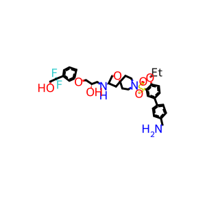 CCOc1ccc(-c2ccc(CN)cc2)cc1S(=O)(=O)N1CCC2(CC1)C[C@H](NC[C@H](O)COc1cccc(C(F)(F)CO)c1)CO2